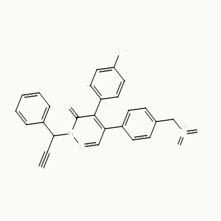 C#CC(c1ccccc1)n1ncc(-c2ccc(C[SH](=O)=O)cc2)c(-c2ccc(F)cc2)c1=O